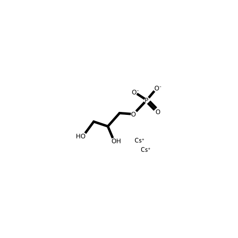 O=P([O-])([O-])OCC(O)CO.[Cs+].[Cs+]